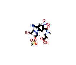 CN(CCC(=O)O)C(=O)c1cc(N(CCBr)CCOS(C)(=O)=O)c(C#N)cc1[N+](=O)[O-]